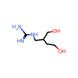 N=C(N)NCC(CO)CCO